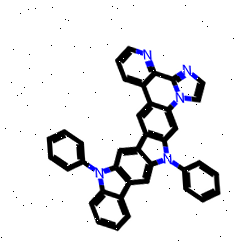 c1ccc(-n2c3ccccc3c3cc4c(cc32)c2cc3c5cccnc5c5nccn5c3cc2n4-c2ccccc2)cc1